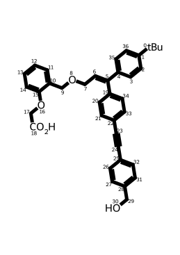 CC(C)(C)c1ccc(C(=CCOCc2ccccc2OCC(=O)O)c2ccc(C#Cc3ccc(CO)cc3)cc2)cc1